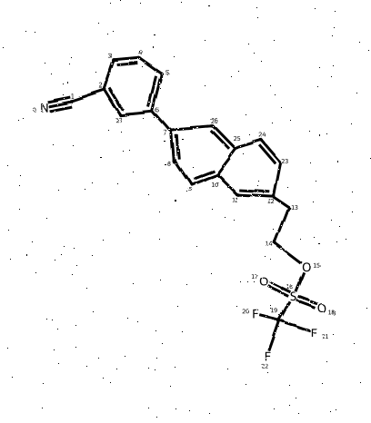 N#Cc1cccc(-c2ccc3cc(CCOS(=O)(=O)C(F)(F)F)ccc3c2)c1